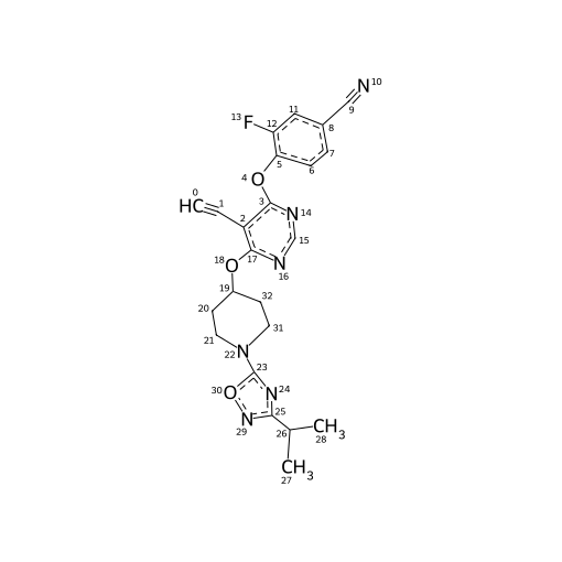 C#Cc1c(Oc2ccc(C#N)cc2F)ncnc1OC1CCN(c2nc(C(C)C)no2)CC1